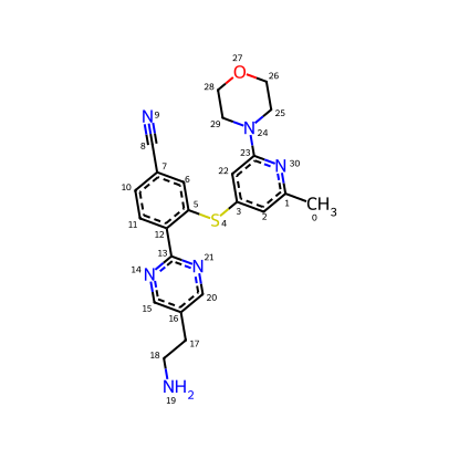 Cc1cc(Sc2cc(C#N)ccc2-c2ncc(CCN)cn2)cc(N2CCOCC2)n1